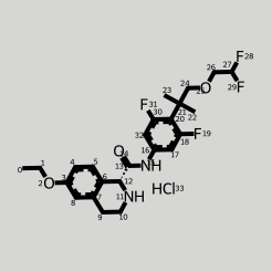 CCOc1ccc2c(c1)CCN[C@H]2C(=O)Nc1cc(F)c(C(C)(C)COCC(F)F)c(F)c1.Cl